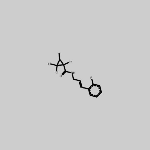 CCC1(C(=O)NC/C=C/c2ccccc2F)C(C)C1(Cl)Cl